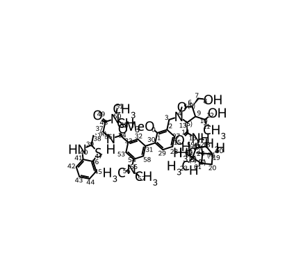 COc1c(CN2O[C@@H](CO)C(C(C)O)[C@H]2C(=O)N[C@H]2C[C@H]3C[C@@H]([C@@H]2C)C3(C)C)cccc1-c1cc(C(=O)N[C@H](CC2Nc3ccccc3S2)C(=O)N(C)C)cc(N(C)C)c1